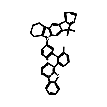 Cc1ccc(-n2c3c(c4cc5c(cc42)C(C)(C)c2ccccc2-5)CCCC3)cc1-c1c(C)cccc1-c1cccc2c1sc1ccccc12